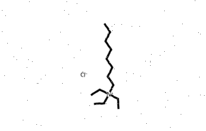 CCCCCCCC[N+](CC)(CC)CC.[Cl-]